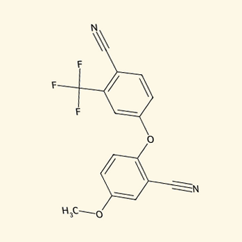 COc1ccc(Oc2ccc(C#N)c(C(F)(F)F)c2)c(C#N)c1